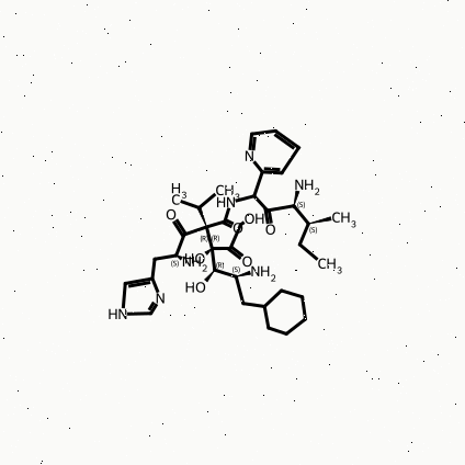 CC[C@H](C)[C@H](N)C(=O)C(NC(=O)[C@](C(=O)[C@@H](N)Cc1c[nH]cn1)(C(C)C)[C@](O)(C(=O)CO)[C@H](O)[C@@H](N)CC1CCCCC1)c1ccccn1